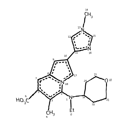 CCN(c1c(C)c(C(=O)O)cc2cc(-c3cn(C)cn3)cn12)C1CCOCC1